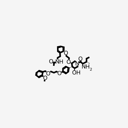 CC[C@H](C)[C@H](N)C(=O)N1C[C@@H](O)[C@H](c2ccc(OCCCOCc3ccccc3OC)cc2)[C@@H](OCCOc2ccccc2CCNC(C)=O)C1